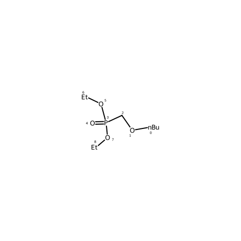 CCCCOCP(=O)(OCC)OCC